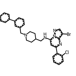 Clc1ccccc1-c1cc(NCC2CCN(Cc3cccc(-c4ccccc4)c3)CC2)n2ncc(Br)c2n1